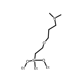 CCO[Si](CC)(CCOCCCN(C)C)OCC